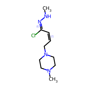 CN/N=C(Cl)\C=C/CN1CCN(C)CC1